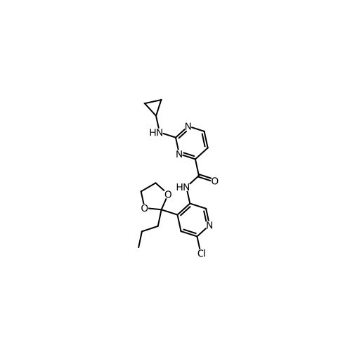 CCCC1(c2cc(Cl)ncc2NC(=O)c2ccnc(NC3CC3)n2)OCCO1